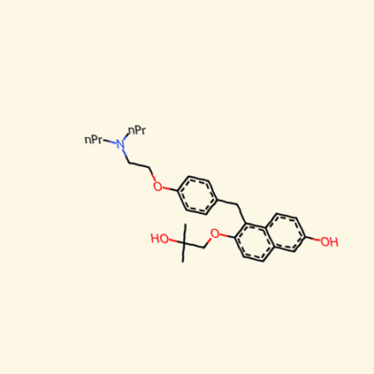 CCCN(CCC)CCOc1ccc(Cc2c(OCC(C)(C)O)ccc3cc(O)ccc23)cc1